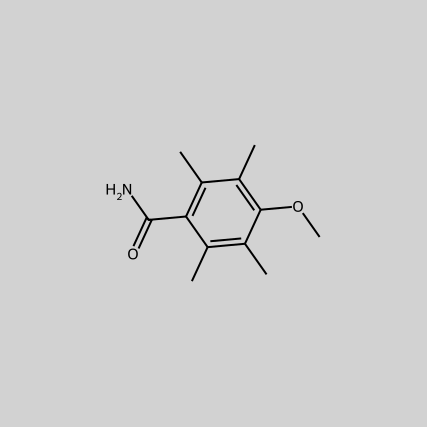 COc1c(C)c(C)c(C(N)=O)c(C)c1C